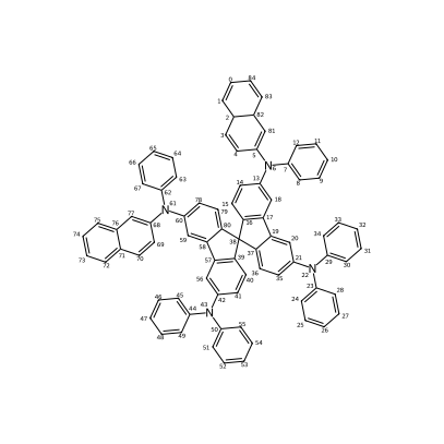 C1=CC2C=CC(N(c3ccccc3)c3ccc4c(c3)-c3cc(N(c5ccccc5)c5ccccc5)ccc3C43c4ccc(N(c5ccccc5)c5ccccc5)cc4-c4cc(N(c5ccccc5)c5ccc6ccccc6c5)ccc43)=CC2C=C1